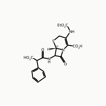 CCOC(=O)NC1=C(C(=O)O)N2C(=O)C(NC(=O)C(C(=O)O)c3ccccc3)[C@@H]2SC1